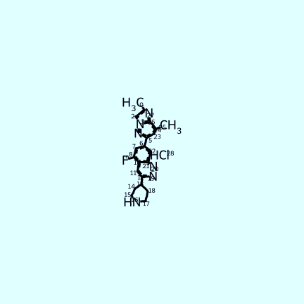 Cc1cn2nc(-c3cc(F)c4cc(C5CCNCC5)nnc4c3)cc(C)c2n1.Cl